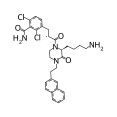 NCCCC[C@H]1C(=O)N(CCc2ccc3ccccc3c2)CCN1C(=O)[CH]Cc1ccc(Cl)c(C(N)=O)c1Cl